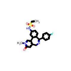 C=CS(=O)(=O)Nc1ccc2c(c1)-c1cn(C)c(=O)cc1CN=C2c1ccc(F)cc1